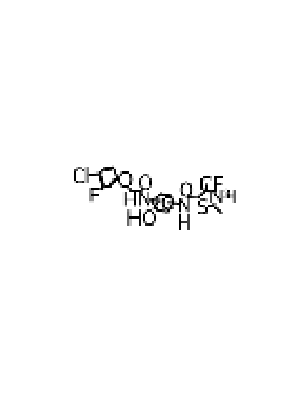 CC1NC(C(F)(F)F)C(C(=O)NC23CCC(NC(=O)COc4ccc(Cl)c(F)c4)(CC2)C(O)C3)S1